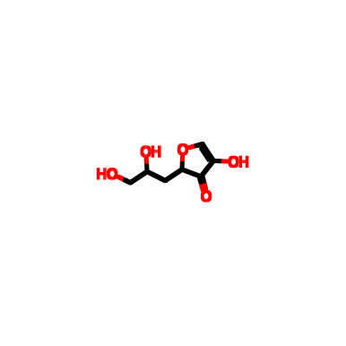 O=C1C(O)=COC1CC(O)CO